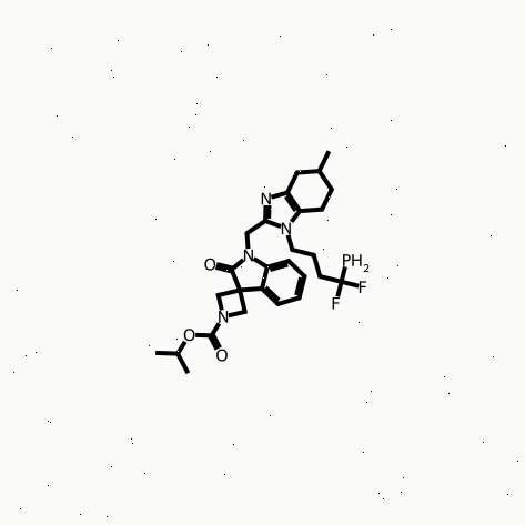 CC1CCc2c(nc(CN3C(=O)C4(CN(C(=O)OC(C)C)C4)c4ccccc43)n2CCCC(F)(F)P)C1